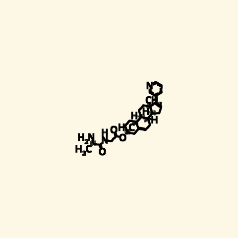 C[C@H](N)C(=O)NCC(=O)O[C@H]1CC[C@@]2(C)C(=CC[C@@H]3[C@@H]2CC[C@]2(C)C(c4cccnc4)=CC[C@@H]32)C1